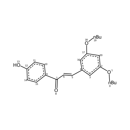 CCCCOc1cc(C=CC(=O)c2ccc(O)cc2)cc(OCCCC)c1